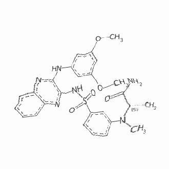 COc1cc(Nc2nc3ccccc3nc2NS(=O)(=O)c2cccc(N(C)[C@@H](C)C(N)=O)c2)cc(OC)c1